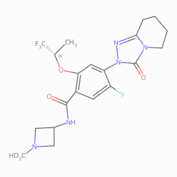 C[C@H](Oc1cc(-n2nc3n(c2=O)CCCC3)c(F)cc1C(=O)NC1CN(C(=O)O)C1)C(F)(F)F